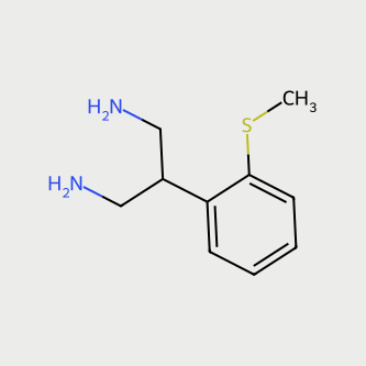 CSc1ccccc1C(CN)CN